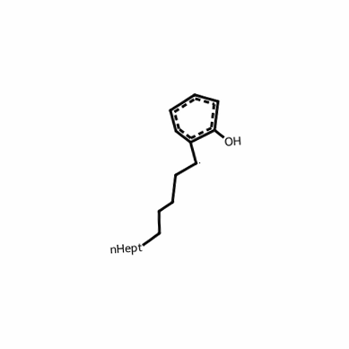 CCCCCCCCCCC[CH]c1ccccc1O